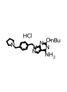 CCCCOc1nc(N)c2cnn(Cc3ccc(CN4CCCC4)cc3)c2n1.Cl